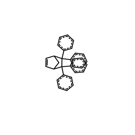 C1=CC2CC1C(c1ccccc1)(c1ccccc1)C2(c1ccccc1)c1ccccc1